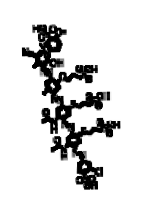 COc1ccc2c(nc3c(C#N)c(C)c(N=Nc4cc(C)c(N=Nc5cc(NC(C)=O)c(N=Nc6cc(NC(C)=O)c(N=Nc7ccc(S(=O)(=O)O)c(Cl)c7)cc6SCCCS(=O)(=O)O)cc5SCCCS(=O)(=O)O)cc4OCCCS(=O)(=O)O)c(O)n32)c1S(=O)(=O)O